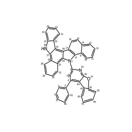 c1ccc(-c2nc(-n3c4c5ccccc5ccc4c4c5c6ccccc6[nH]c5c5ccccc5c43)nc3oc4ccccc4c23)cc1